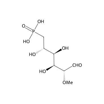 CO[C@@H](C=O)[C@@H](O)[C@H](O)[C@H](O)CP(=O)(O)O